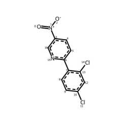 O=[N+]([O-])c1ccc(-c2ccc(Cl)cc2Cl)nc1